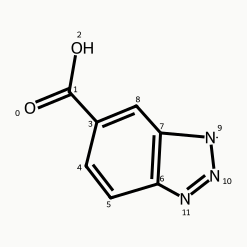 O=C(O)c1ccc2c(c1)[N]N=N2